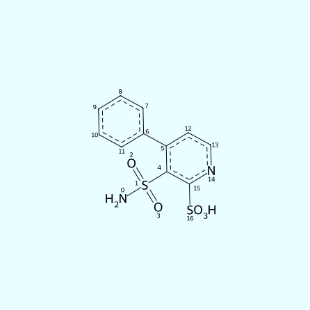 NS(=O)(=O)c1c(-c2ccccc2)ccnc1S(=O)(=O)O